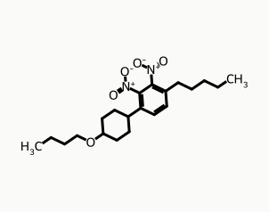 CCCCCc1ccc(C2CCC(OCCCC)CC2)c([N+](=O)[O-])c1[N+](=O)[O-]